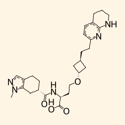 Cn1ncc2c1C[C@@H](C(=O)N[C@@H](CCO[C@H]1C[C@H](CCc3ccc4c(n3)NCCC4)C1)C(=O)O)CC2